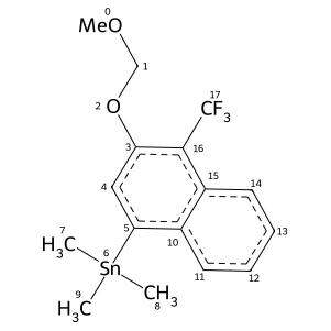 COCOc1c[c]([Sn]([CH3])([CH3])[CH3])c2ccccc2c1C(F)(F)F